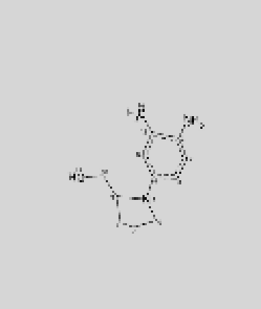 Nc1ccc(N2CCCC2CO)cc1C(F)(F)F